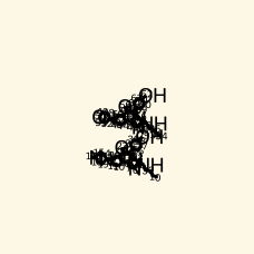 CCCCNc1ncc2c3ccc(N4CCN(C)CC4)cc3c(=O)n(C3CCC(O)CC3)c2n1.CCCCNc1ncc2c3ccc(N4CCOCC4)cc3c(=O)n(C3CCC(O)CC3)c2n1